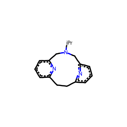 CC(C)N1Cc2cccc(n2)CCc2cccc(n2)C1